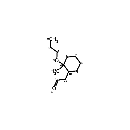 CCCOC1(C)CCCCC1CC=O